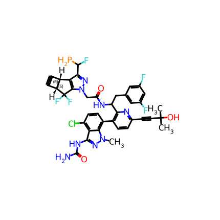 Cn1nc(NC(N)=O)c2c(Cl)ccc(-c3ccc(C#CC(C)(C)O)nc3C(Cc3cc(F)cc(F)c3)NC(=O)Cn3nc(C(F)P)c4c3C(F)(F)[C@@H]3C#C[C@H]43)c21